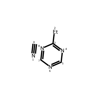 C#N.CCc1ncncn1